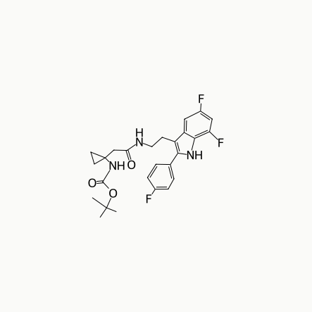 CC(C)(C)OC(=O)NC1(CC(=O)NCCc2c(-c3ccc(F)cc3)[nH]c3c(F)cc(F)cc23)CC1